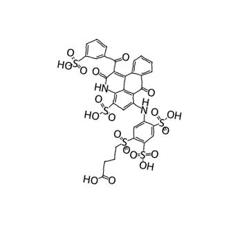 O=C(O)CCCS(=O)(=O)c1cc(Nc2cc(S(=O)(=O)O)c3[nH]c(=O)c(C(=O)c4cccc(S(=O)(=O)O)c4)c4c3c2C(=O)c2ccccc2-4)c(S(=O)(=O)O)cc1S(=O)(=O)O